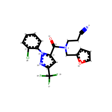 N#CCCN(Cc1ccco1)C(=O)c1cc(C(F)(F)F)nn1-c1ccccc1Cl